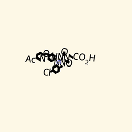 CC(=O)c1ccc(Oc2ccc(/N=c3\[nH]c(=O)n(CCC(=O)O)c(=O)n3Cc3ccc(Cl)cc3)cc2)nc1